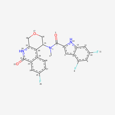 CN(C(=O)c1cc2c(F)cc(F)cc2[nH]1)C1COCc2[nH]c(=O)c3cc(F)ccc3c21